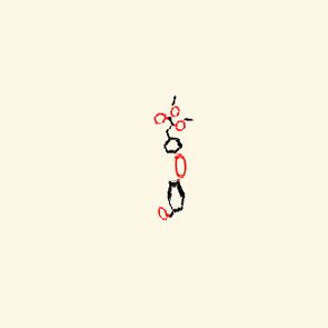 CCOC(=O)[C@H](Cc1ccc(Oc2ccc(C=O)cc2)cc1)OCC